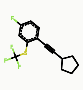 Fc1ccc(C#CC2CCCC2)c(SC(F)(F)F)c1